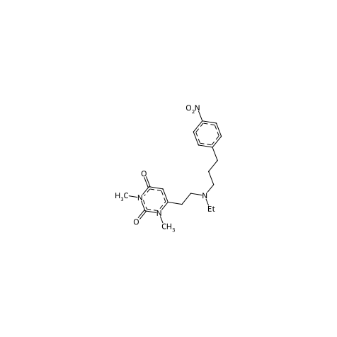 CCN(CCCc1ccc([N+](=O)[O-])cc1)CCc1cc(=O)n(C)c(=O)n1C